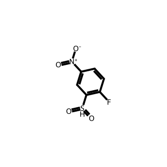 O=[N+]([O-])c1ccc(F)c([SH](=O)=O)c1